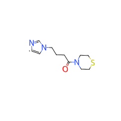 O=C(CCCn1c[c]nc1)N1CCSCC1